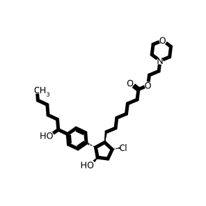 CCCCCC(O)c1ccc([C@@H]2[C@@H](CCCCCCC(=O)OCCN3CCOCC3)[C@H](Cl)C[C@H]2O)cc1